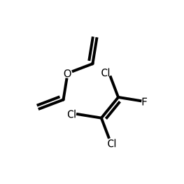 C=COC=C.FC(Cl)=C(Cl)Cl